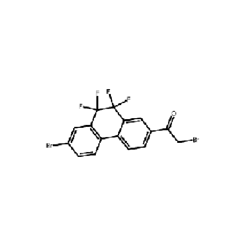 O=C(CBr)c1ccc2c(c1)C(F)(F)C(F)(F)c1cc(Br)ccc1-2